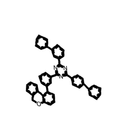 c1ccc(-c2ccc(-c3nc(-c4cccc(-c5ccccc5)c4)nc(-c4cccc(-c5cccc6c5-c5ccccc5CO6)c4)n3)cc2)cc1